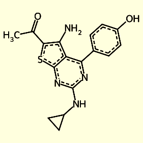 CC(=O)c1sc2nc(NC3CC3)nc(-c3ccc(O)cc3)c2c1N